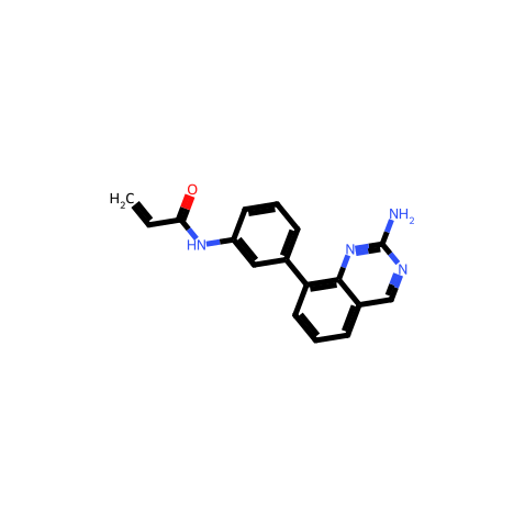 C=CC(=O)Nc1cccc(-c2cccc3cnc(N)nc23)c1